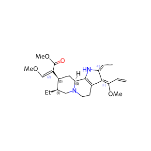 C=C/C(OC)=c1/c2c([nH]/c1=C/C)[C@@H]1C[C@H](/C(=C/OC)C(=O)OC)[C@H](CC)CN1CC2